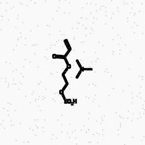 C=CC(=O)OCCOS(=O)(=O)O.CN(C)C